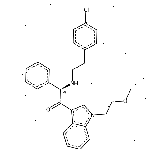 COCCn1cc(C(=O)[C@H](NCCc2ccc(Cl)cc2)c2ccccc2)c2ccccc21